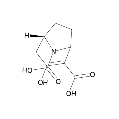 O=C(O)C1=C(O)C[C@@H]2CCC1N2C(=O)O